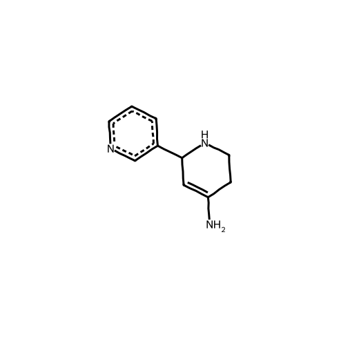 NC1=CC(c2cccnc2)NCC1